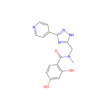 CN(Cc1nc(-c2ccncc2)n[nH]1)C(=O)c1ccc(O)cc1O